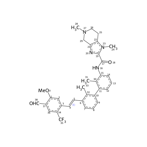 COc1cc(/C=C/c2cccc(-c3cccc(NC(=O)c4nc5c(n4C)CCN(C)C5)c3C)c2C)c(C(F)(F)F)cc1C=O